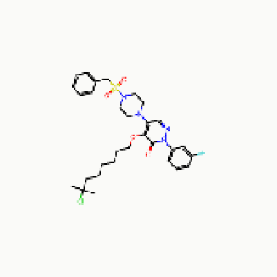 CC(C)(Cl)CCCCCCOc1c(N2CCN(S(=O)(=O)Cc3ccccc3)CC2)cnn(-c2cccc(F)c2)c1=O